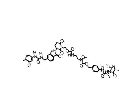 CON(CCNC(=O)OCN1C(=O)CCC(N2Cc3cc(CNC(=O)Nc4ccc(C)c(Cl)c4)ccc3C2=O)C1=O)C(=O)OCc1ccc(NC(=O)[C@H](C)NC(=O)[C@H](C)N)cc1